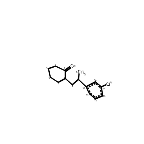 CC(CC1CCCCC1=O)c1cccc(Cl)c1